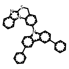 c1ccc(-c2ccc3c(c2)c2cc(-c4ccccc4)ccc2n3-c2ccc3c(c2)-n2c(nc4ccccc42)SC3)cc1